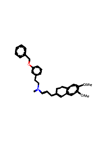 COc1cc2c(cc1OC)CCC(CCCN(C)CCc1cccc(OCc3ccccc3)c1)=C2